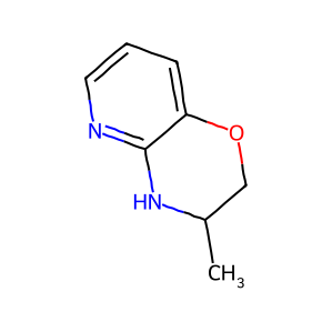 CC1COc2cccnc2N1